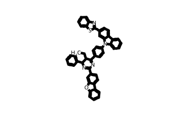 CCC1C(c2ccc(-n3c4ccccc4c4ccc(-c5nc6ccccc6s5)cc43)cc2)=NC(c2ccc3c(c2)oc2ccccc23)=NC1c1ccccc1